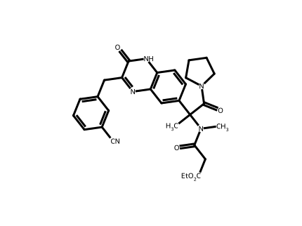 CCOC(=O)CC(=O)N(C)C(C)(C(=O)N1CCCC1)c1ccc2[nH]c(=O)c(Cc3cccc(C#N)c3)nc2c1